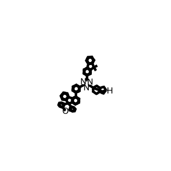 CC1(C)c2ccccc2-c2ccc(-c3nc(-c4cccc(-c5cccc6c5-c5ccccc5C65c6ccccc6Oc6ccccc65)c4)nc(C45CCC6C[C@H](CC6C4)C5)n3)cc21